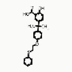 CC(C)(c1ccc(OCCSc2ccccc2)cc1)c1ccc(O)c(C(=O)O)c1